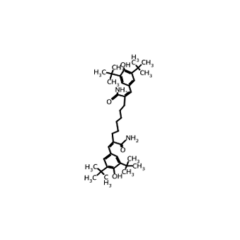 CC(C)(C)c1cc(C=C(CCCCCCC(=Cc2cc(C(C)(C)C)c(O)c(C(C)(C)C)c2)C(N)=O)C(N)=O)cc(C(C)(C)C)c1O